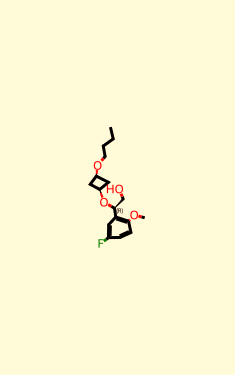 CCCCO[C@H]1C[C@@H](O[C@@H](CO)c2cc(F)ccc2OC)C1